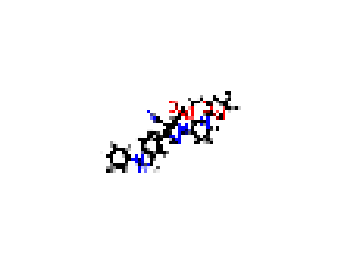 CCOC(=O)c1c(C#N)c(-c2ccc3c(cnn3-c3ccccc3)c2)nn1[C@@H]1CCCN(C(=O)OC(C)(C)C)C1